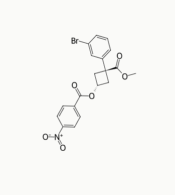 COC(=O)[C@]1(c2cccc(Br)c2)C[C@@H](OC(=O)c2ccc([N+](=O)[O-])cc2)C1